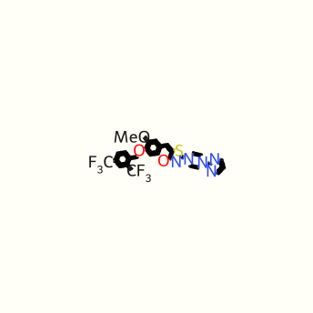 COc1cc(C=C2SC(N3CCN(c4ncccn4)CC3)=NC2=O)ccc1OCc1ccc(C(F)(F)F)cc1C(F)(F)F